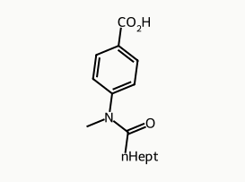 CCCCCCCC(=O)N(C)c1ccc(C(=O)O)cc1